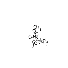 CCOC(=O)Cn1nc(C(C)C)c2oc(C3CC3)cc2c1=O